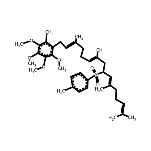 COc1c(C)c(C/C=C(\C)CC/C=C(\C)CC(/C=C(\C)CCC=C(C)C)S(=O)(=O)c2ccc(C)cc2)c(OC)c(OC)c1OC